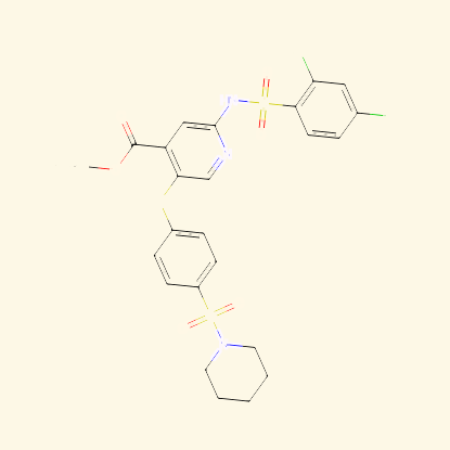 CCCCCOC(=O)c1cc(NS(=O)(=O)c2ccc(Cl)cc2Cl)ncc1Sc1ccc(S(=O)(=O)N2CCCCC2)cc1